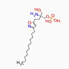 CCCCCCCCCCCCc1cc(CCC(N)(CO)COP(=O)(O)O)on1